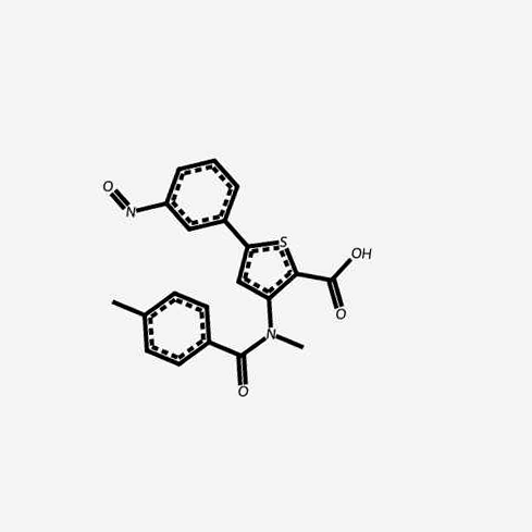 Cc1ccc(C(=O)N(C)c2cc(-c3cccc(N=O)c3)sc2C(=O)O)cc1